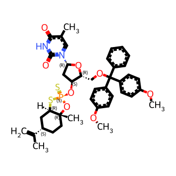 C=C(C)[C@H]1CC[C@@]2(C)O[P@](=S)(O[C@H]3C[C@H](n4cc(C)c(=O)[nH]c4=O)O[C@@H]3COC(c3ccccc3)(c3ccc(OC)cc3)c3ccc(OC)cc3)S[C@@H]2C1